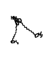 CCCCCCCCCCCCCCCCOC1CNC[C@H]1OCCCCCCCCCCCCCCCC